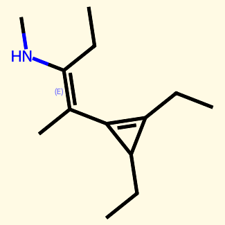 CCC1=C(/C(C)=C(\CC)NC)C1CC